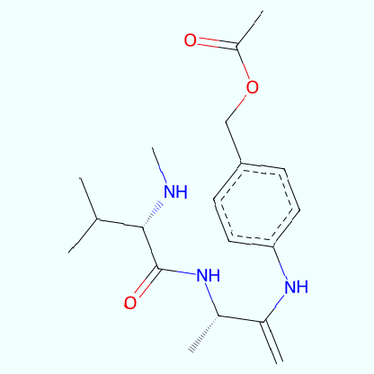 C=C(Nc1ccc(COC(C)=O)cc1)[C@H](C)NC(=O)[C@@H](NC)C(C)C